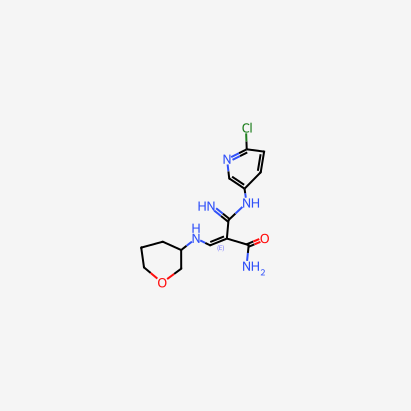 N=C(Nc1ccc(Cl)nc1)/C(=C\NC1CCCOC1)C(N)=O